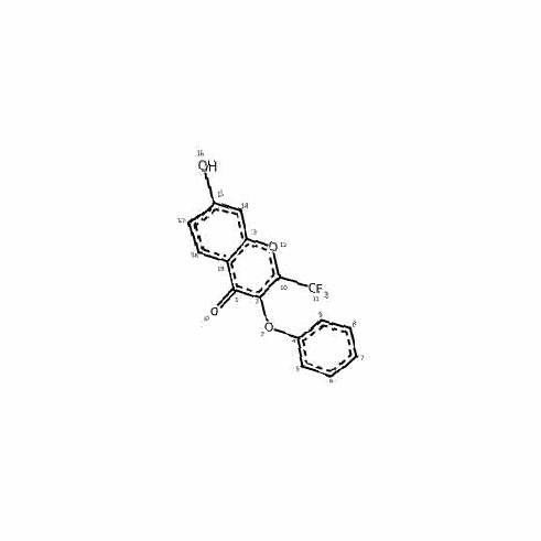 O=c1c(Oc2ccccc2)c(C(F)(F)F)oc2cc(O)ccc12